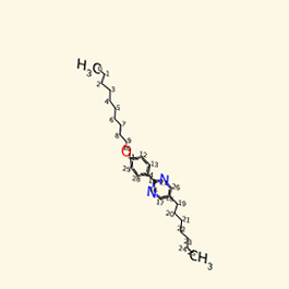 CCCCCCCCCCOc1ccc(-c2ncc(CCCCCCC)cn2)cc1